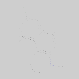 CC(=O)N1CCCc2c1ccc1cc(Cl)cc(Cl)c21